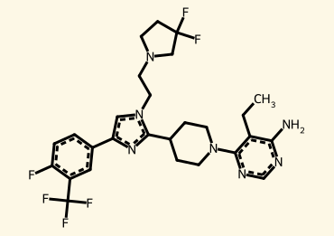 CCc1c(N)ncnc1N1CCC(c2nc(-c3ccc(F)c(C(F)(F)F)c3)cn2CCN2CCC(F)(F)C2)CC1